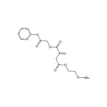 C=C(CC(=O)OCCOCCCC)C(=O)OCC(=O)Oc1ccccc1